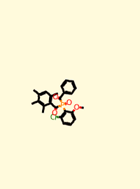 COc1cccc(Cl)c1P(=O)(C(=O)c1ccccc1)C(=O)c1c(C)cc(C)c(C)c1C